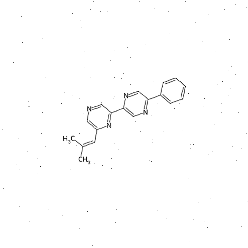 CC(C)=Cc1cn[c]c(-c2cnc(-c3ccccc3)cn2)n1